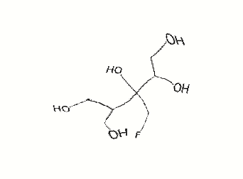 OCC(O)C(O)(CF)C(O)CO